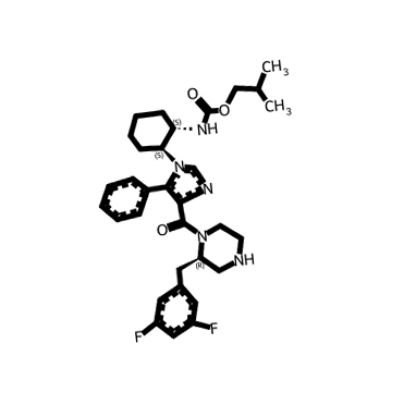 CC(C)COC(=O)N[C@H]1CCCC[C@@H]1n1cnc(C(=O)N2CCNC[C@H]2Cc2cc(F)cc(F)c2)c1-c1ccccc1